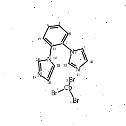 [Br][Co]([Br])[Br].c1ccc(-n2ccnc2)c(-n2ccnc2)c1